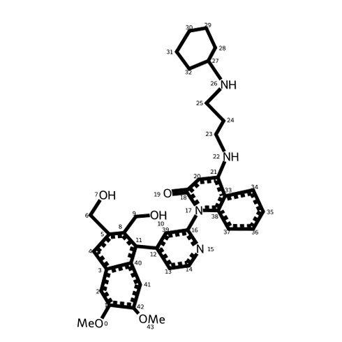 COc1cc2cc(CO)c(CO)c(-c3ccnc(-n4c(=O)cc(NCCCNC5CCCCC5)c5ccccc54)c3)c2cc1OC